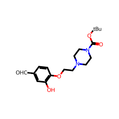 CC(C)(C)OC(=O)N1CCN(CCOc2ccc(C=O)cc2O)CC1